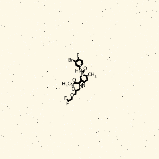 C[C@@H]1Cc2nn3c(c2CN1C(=O)Nc1ccc(F)c(Br)c1)C(=O)N(C)OC(COCC(F)F)C3